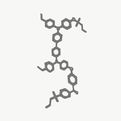 CCCC(C)(C)Oc1ccc(N(c2ccc(CC)cc2)c2ccc(-c3ccc(N(c4ccc(CC)cc4)c4ccc(Oc5ccc(C(=O)c6ccc(C(C)(C)CCC)cc6)cc5)cc4)cc3)cc2)cc1